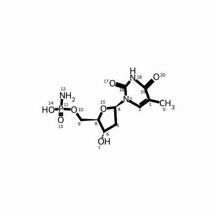 Cc1cn([C@H]2C[C@H](O)[C@@H](COP(N)(=O)O)O2)c(=O)[nH]c1=O